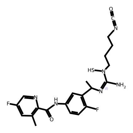 Cc1cc(F)cnc1C(=O)Nc1ccc(F)c(C(C)/N=C(/N)N(S)CCCCN=C=O)c1